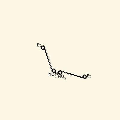 CCc1ccc(CCCCCCCCCCCCc2ccc(Oc3ccc(CCCCCCCCCCCCc4ccc(CC)cc4)cc3[N+](=O)[O-])c([N+](=O)[O-])c2)cc1